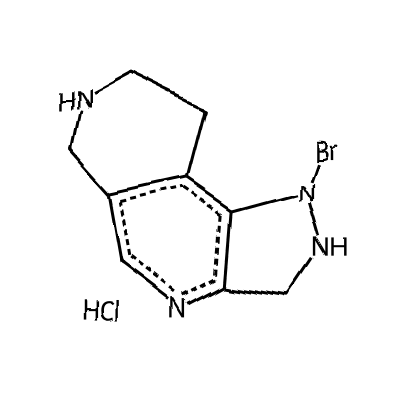 BrN1NCc2ncc3c(c21)CCNC3.Cl